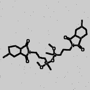 CO[Si](C)(CCCN1C(=O)C2CCC(C)CC2C1=O)O[Si](C)(CCCN1C(=O)C2CCC(C)CC2C1=O)OC